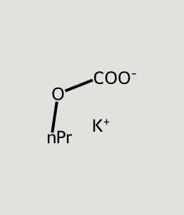 CCCOC(=O)[O-].[K+]